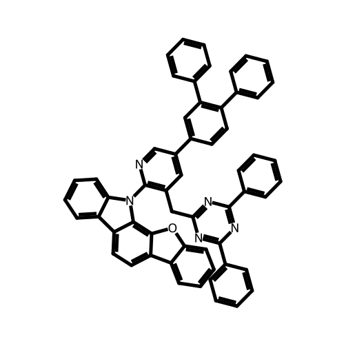 c1ccc(-c2nc(Cc3cc(-c4ccc(-c5ccccc5)c(-c5ccccc5)c4)cnc3-n3c4ccccc4c4ccc5c6ccccc6oc5c43)nc(-c3ccccc3)n2)cc1